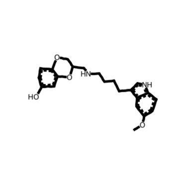 COc1ccc2[nH]cc(CCCCNCC3COc4ccc(O)cc4O3)c2c1